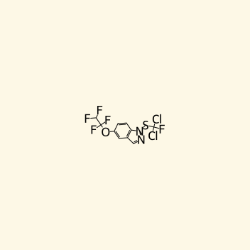 FC(F)C(F)(F)Oc1ccc2c(cnn2SC(F)(Cl)Cl)c1